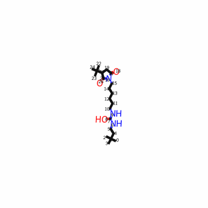 CC(C)(C)CCNC(O)NCCCCCCN1C(=O)CC(C(C)(C)C)C1=O